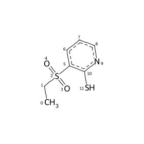 CCS(=O)(=O)c1cccnc1S